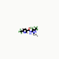 Cn1nc(C(F)(F)F)c(Cl)c1NC(=O)c1ccc(C(F)(F)F)nc1